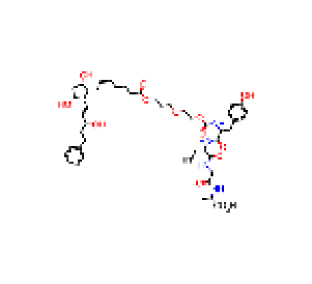 CC(C)C[C@H](NC(=O)[C@H](Cc1ccc(O)cc1)NC(=O)OCCOCCCOC(=O)CCC/C=C\C[C@@H]1[C@@H](/C=C/[C@@H](O)CCc2ccccc2)[C@H](O)C[C@@H]1O)C(=O)NCC(=O)N[C@@H](C)C(=O)O